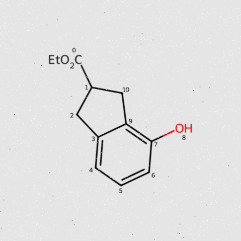 CCOC(=O)C1Cc2cccc(O)c2C1